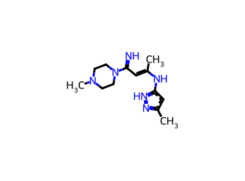 C/C(=C\C(=N)N1CCN(C)CC1)Nc1cc(C)n[nH]1